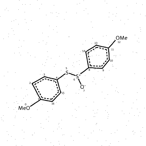 COc1ccc(S[S+]([O-])c2ccc(OC)cc2)cc1